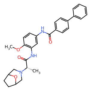 COc1ccc(NC(=O)c2ccc(-c3ccccc3)cc2)cc1NC(=O)[C@H](C)N1CC2CCC(C1)O2